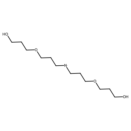 OCCCOCCC[N]CCCOCCCO